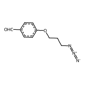 [N-]=[N+]=NCCCOc1ccc(C=O)cc1